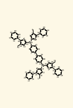 Cc1cc(N(c2ccc(-c3ccc(N(c4cc(C)c(-c5ccccc5)s4)c4cc(C)c(-c5ccccc5)s4)cc3)cc2)c2cc(C)c(-c3ccccc3)s2)sc1-c1ccccc1